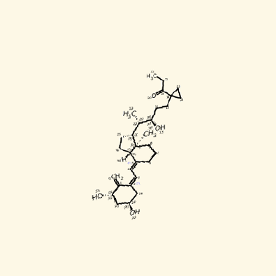 C=C1/C(=C\C=C2/CCC[C@]3(C)[C@@H]([C@H](C)[C@H](O)CCC4(C(=O)CC)CC4)CC[C@@H]23)C[C@@H](O)C[C@@H]1O